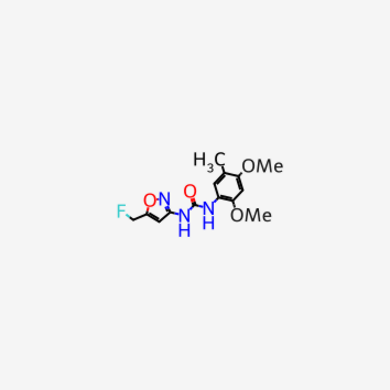 COc1cc(OC)c(NC(=O)Nc2cc(CF)on2)cc1C